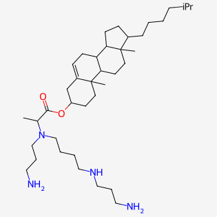 CC(C)CCCCC1CCC2C3CC=C4CC(OC(=O)C(C)N(CCCN)CCCCNCCCN)CCC4(C)C3CCC12C